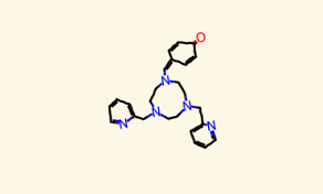 O=C1C=CC(=CN2CCN(Cc3ccccn3)CCN(Cc3ccccn3)CC2)C=C1